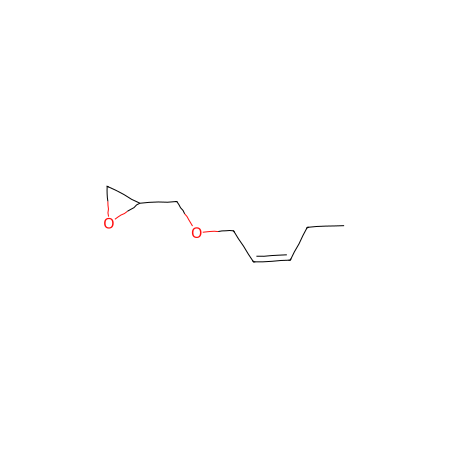 CC/C=C\COCC1CO1